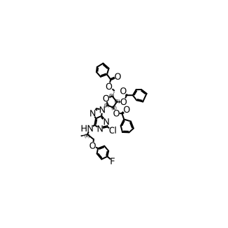 C[C@H](COc1ccc(F)cc1)Nc1nc(Cl)nc2c1ncn2[C@@H]1O[C@H](COC(=O)c2ccccc2)[C@@H](OC(=O)c2ccccc2)[C@H]1OC(=O)c1ccccc1